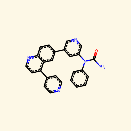 NC(=O)N(c1ccccc1)c1cncc(-c2ccc3nccc(-c4ccncc4)c3c2)c1